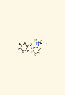 CN(F)c1ccccc1Cc1ccccc1